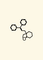 CCC1(CC=C(c2ccccc2)c2ccccc2)CCCCC1=O